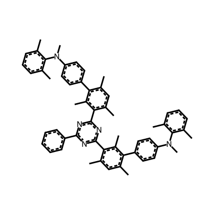 Cc1cc(C)c(-c2nc(-c3ccccc3)nc(-c3c(C)cc(C)c(-c4ccc(N(C)c5c(C)cccc5C)cc4)c3C)n2)c(C)c1-c1ccc(N(C)c2c(C)cccc2C)cc1